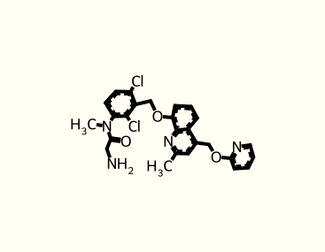 Cc1cc(COc2ccccn2)c2cccc(OCc3c(Cl)ccc(N(C)C(=O)CN)c3Cl)c2n1